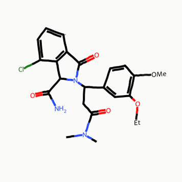 CCOc1cc(C(CC(=O)N(C)C)N2C(=O)c3[c]ccc(Cl)c3C2C(N)=O)ccc1OC